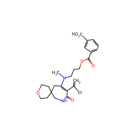 C=C(CC)C1=C(N(C)CCCOC(=O)c2cccc(C(=O)O)c2)CC2(CCOCC2)CNC1=O